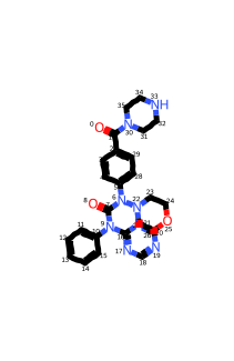 O=C(c1ccc(N(C(=O)N(c2ccccc2)c2ncncn2)N2CCOCC2)cc1)N1CCNCC1